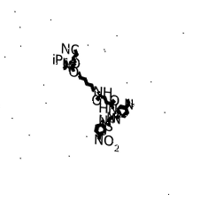 CC(C)N(C)P(OCCC#N)OCCCCCCNC(=O)CCC(=O)Nc1cc(N(C)C)ccc1N=Nc1nc2ccc([N+](=O)[O-])cc2s1